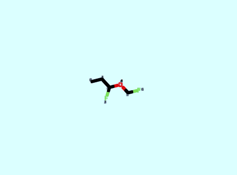 CCC(F)OCF